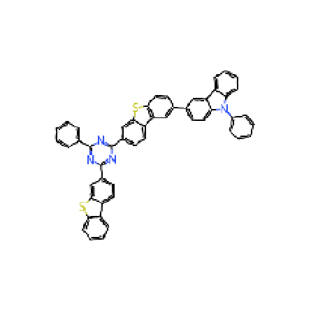 c1ccc(-c2nc(-c3ccc4c(c3)sc3ccccc34)nc(-c3ccc4c(c3)sc3ccc(-c5ccc6c(c5)c5ccccc5n6-c5ccccc5)cc34)n2)cc1